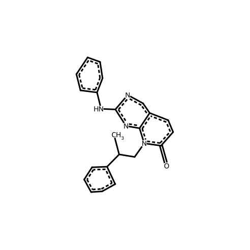 CC(Cn1c(=O)ccc2cnc(Nc3ccccc3)nc21)c1ccccc1